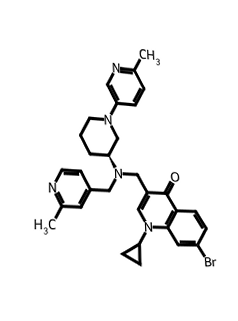 Cc1ccc(N2CCC[C@H](N(Cc3ccnc(C)c3)Cc3cn(C4CC4)c4cc(Br)ccc4c3=O)C2)cn1